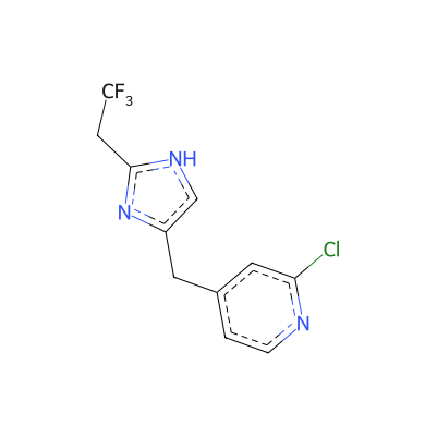 FC(F)(F)Cc1nc(Cc2ccnc(Cl)c2)c[nH]1